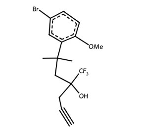 C#CCC(O)(CC(C)(C)c1cc(Br)ccc1OC)C(F)(F)F